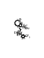 CC[Si](CC)(CC)O[C@H](/C=C/[C@H]1C(O[Si](C)(C)C(C)(C)C)C[C@@H]2OC(=O)CCC/C=C\C[C@@H]21)COc1cccc(C(F)(F)F)c1